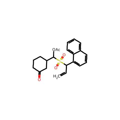 C=CC(c1cccc2ccccc12)S(=O)(=O)C(OC(C)=O)C1CCCC(=O)C1